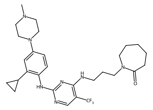 CN1CCN(c2ccc(Nc3ncc(C(F)(F)F)c(NCCCN4CCCCCC4=O)n3)c(C3CC3)c2)CC1